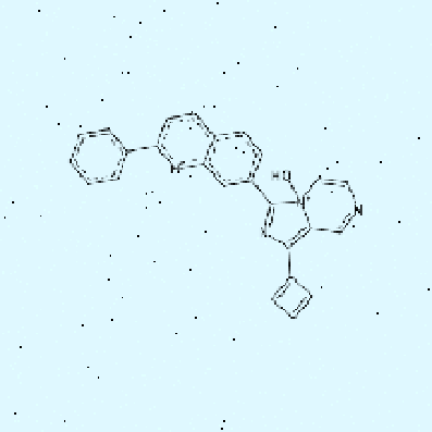 O[N+]12C=CN=CC1=C(C1=CC=C1)N=C2c1ccc2ccc(-c3ccccc3)nc2c1